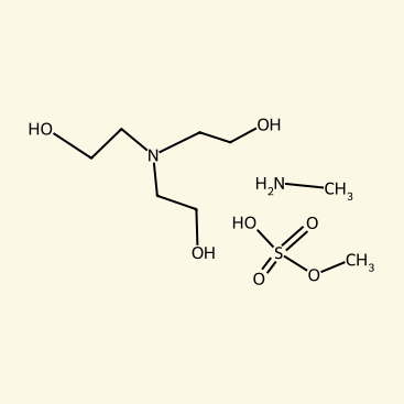 CN.COS(=O)(=O)O.OCCN(CCO)CCO